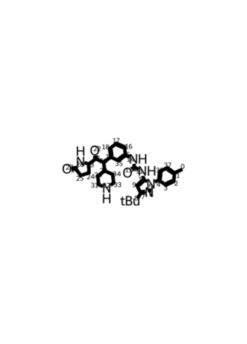 Cc1ccc(-n2nc(C(C)(C)C)cc2NC(=O)Nc2cccc(C(C(=O)C3CCC(=O)N3)C3CCNCC3)c2)cc1